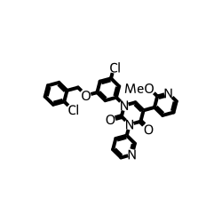 COc1ncccc1-c1cn(-c2cc(Cl)cc(OCc3ccccc3Cl)c2)c(=O)n(-c2cccnc2)c1=O